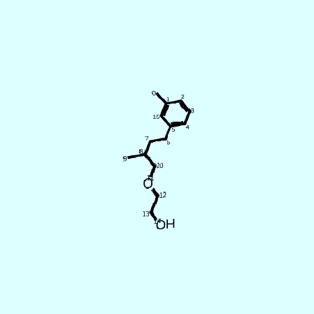 Cc1cccc(CCC(C)COCCO)c1